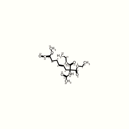 CCOC(=O)C(CC=CCCC(=C=O)OC)(NC(C)=O)C(=O)OCC